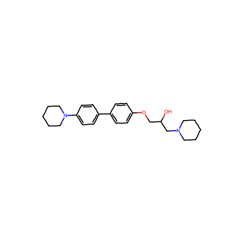 OC(COc1ccc(-c2ccc(N3CCCCC3)cc2)cc1)CN1CCCCC1